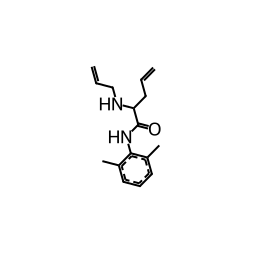 C=CCNC(CC=C)C(=O)Nc1c(C)cccc1C